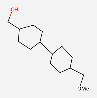 COCC1CCC(C2CCC(CO)CC2)CC1